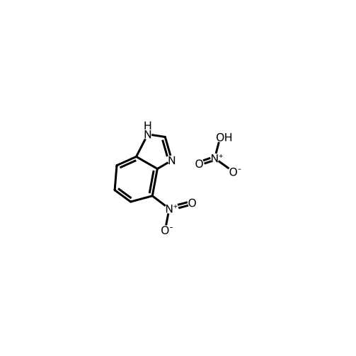 O=[N+]([O-])O.O=[N+]([O-])c1cccc2[nH]cnc12